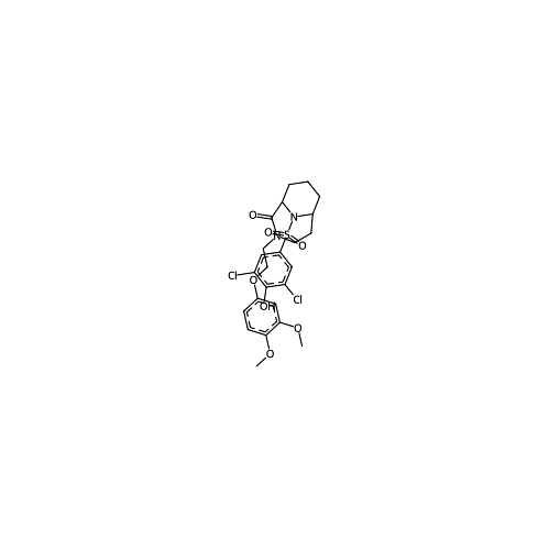 COc1ccc(OCCN2CCC3CCCC(C2=O)N3S(=O)(=O)c2cc(Cl)c(O)c(Cl)c2)cc1OC